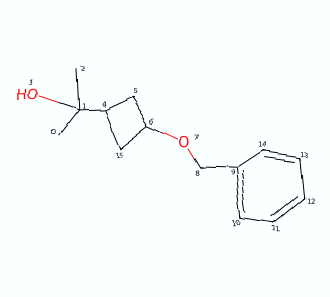 CC(C)(O)C1CC(OCc2ccccc2)C1